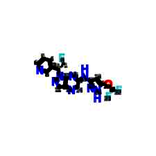 FC[C@@H](c1cccnc1)n1ncc2ncc(Nc3cc(OC(F)F)[nH]n3)nc21